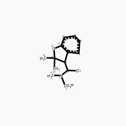 CN(C(=O)O)C(Cl)C1c2ccccc2OC1(C)C